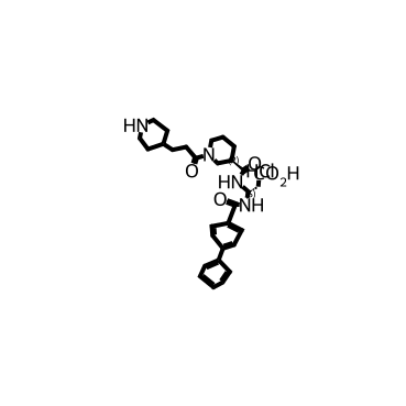 Cl.O=C(O)C[C@H](NC(=O)c1ccc(-c2ccccc2)cc1)NC(=O)[C@@H]1CCCN(C(=O)CCC2CCNCC2)C1